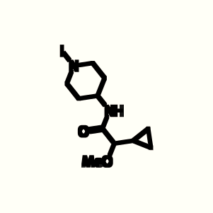 COC(C(=O)NC1CCN(I)CC1)C1CC1